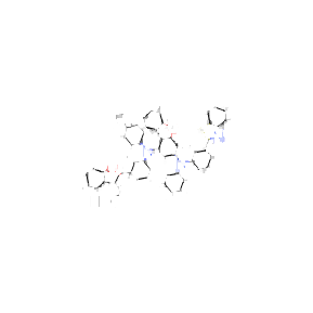 CCc1c(-c2cccc(N(C3=CCC(C)C=C3)c3cc(N(c4ccccc4)c4cccc(-c5nc6ccccc6s5)c4)cc4oc5ccccc5c34)c2)oc2ccccc12